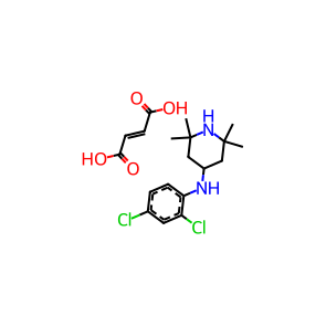 CC1(C)CC(Nc2ccc(Cl)cc2Cl)CC(C)(C)N1.O=C(O)/C=C/C(=O)O